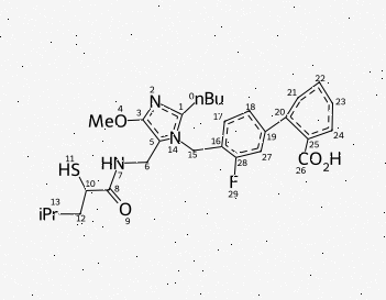 CCCCc1nc(OC)c(CNC(=O)C(S)CC(C)C)n1Cc1ccc(-c2ccccc2C(=O)O)cc1F